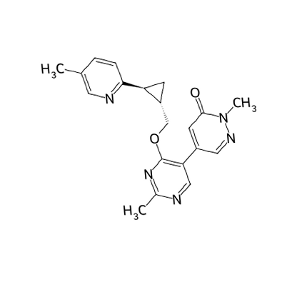 Cc1ccc([C@H]2C[C@@H]2COc2nc(C)ncc2-c2cnn(C)c(=O)c2)nc1